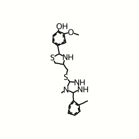 COc1cc(C2NC(CSC3NNC(c4ccccc4C)N3C)CS2)ccc1O